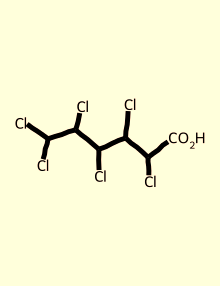 O=C(O)C(Cl)C(Cl)C(Cl)C(Cl)C(Cl)Cl